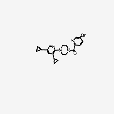 O=C(c1ccc(Br)cn1)N1CCN(c2ncc(C3CC3)cc2C2CC2)CC1